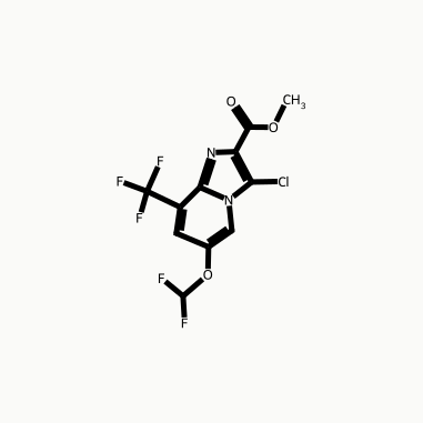 COC(=O)c1nc2c(C(F)(F)F)cc(OC(F)F)cn2c1Cl